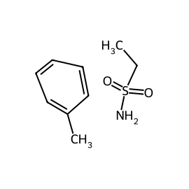 CCS(N)(=O)=O.Cc1ccccc1